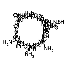 CCCCC1NC(=O)CN(S(=O)(=O)CCCNC(=O)C(N)CS)CCNC(=O)C(CCCCN)NC(=O)C(CC(C)C)NC(=O)C(CCCCN)NC(=O)C(CC(C)C)NC(=O)C(CCCCN)NC(=O)COCC2CCCN2C(=O)C(Cc2c[nH]c3ccccc23)NC(=O)C(C)NC(=O)C(C(C)C)NC(=O)C(C(C)C)NC1=O